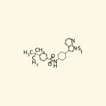 CC(C)(C)c1ccc(S(=O)(=O)NC2CCC(c3cn(SI)c4ncccc34)CC2)cc1